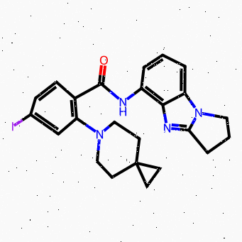 O=C(Nc1cccc2c1nc1n2CCC1)c1ccc(I)cc1N1CCC2(CC1)CC2